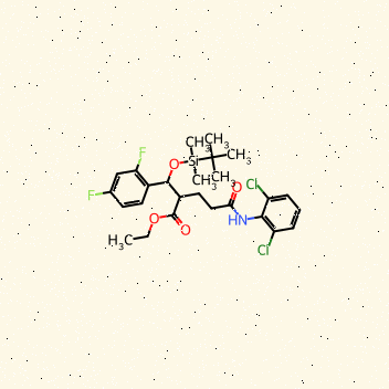 CCOC(=O)C(CCC(=O)Nc1c(Cl)cccc1Cl)C(O[Si](C)(C)C(C)(C)C)c1ccc(F)cc1F